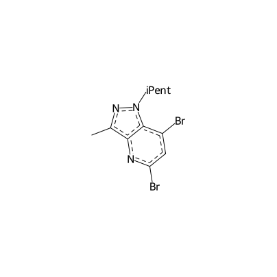 CCCC(C)n1nc(C)c2nc(Br)cc(Br)c21